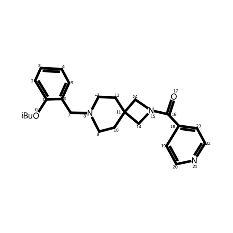 CC(C)COc1ccccc1CN1CCC2(CC1)CN(C(=O)c1ccncc1)C2